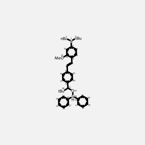 CCCCN(CCCC)c1ccc(C=Cc2ccc(C(O[SiH](c3ccccc3)c3ccccc3)C(C)(C)C)cc2)c(OC)c1